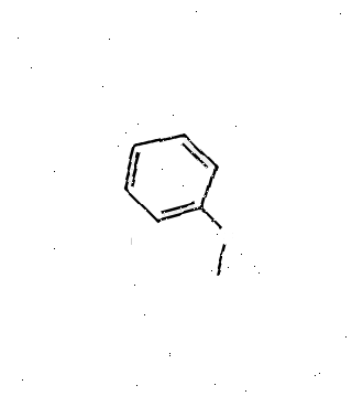 COc1c[c]ccc1.[Ti]